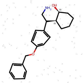 NCC(c1ccc(OCc2ccccc2)cc1)[C@@H]1CCCC[C@@H]1O